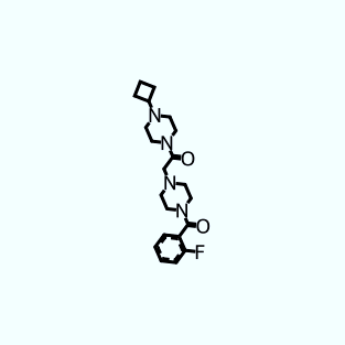 O=C(CN1CCN(C(=O)c2ccccc2F)CC1)N1CCN(C2CCC2)CC1